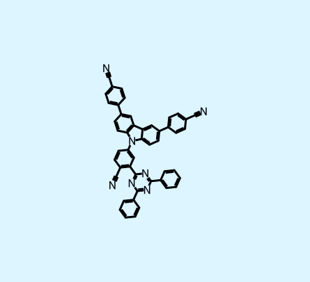 N#Cc1ccc(-c2ccc3c(c2)c2cc(-c4ccc(C#N)cc4)ccc2n3-c2ccc(C#N)c(-c3nc(-c4ccccc4)nc(-c4ccccc4)n3)c2)cc1